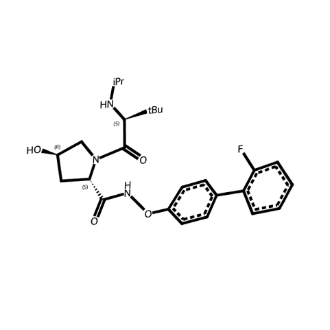 CC(C)N[C@H](C(=O)N1C[C@H](O)C[C@H]1C(=O)NOc1ccc(-c2ccccc2F)cc1)C(C)(C)C